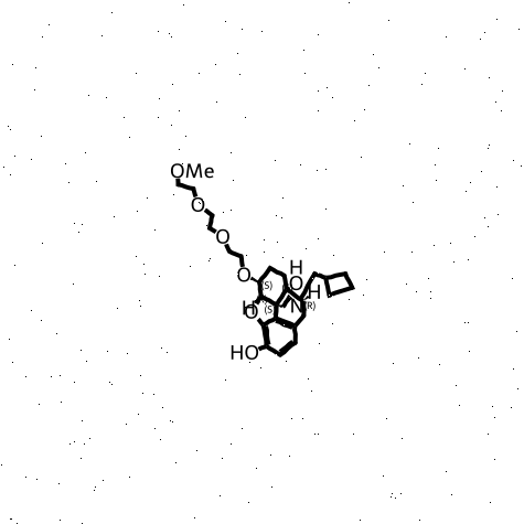 COCCOCCOCCO[C@H]1CC[C@@]2(O)[C@H]3Cc4ccc(O)c5c4[C@@]2(CCN3CC2CCC2)[C@H]1O5